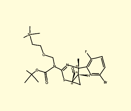 CC(C)(C)OC(=O)N(COCC[Si](C)(C)C)C1=N[C@](C)(c2cc(Br)ccc2F)[C@@H]2C[C@]2(C=O)S1